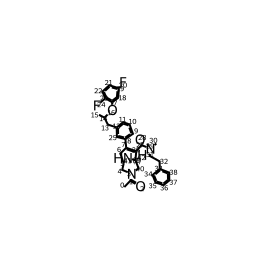 CC(=O)N1CC2CC(c3cccc(CC(C)Oc4cc(F)ccc4F)c3)=C(C(=O)N(C)CCc3ccccc3)[C@@H](C1)N2